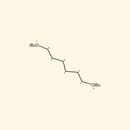 CC(C)COCCCCCCOCC(C)C